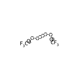 FC(F)(F)c1ccc(-c2cccc(-c3ccc4cc5cc6cc(-c7cccc(-c8ccc(C(F)(F)F)o8)c7)ccc6cc5cc4c3)c2)o1